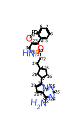 CC(C)OC1=C(c2ccccc2)OP(CCC2CCC(c3ccc4c(N)ncnn34)C2)NC1